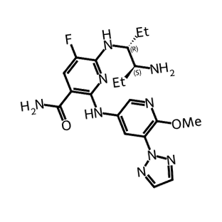 CC[C@H](N)[C@@H](CC)Nc1nc(Nc2cnc(OC)c(-n3nccn3)c2)c(C(N)=O)cc1F